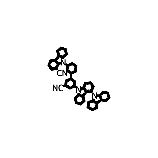 N#Cc1cc(-c2cccc(-n3c4ccccc4c4cccc(C#N)c43)c2)cc(-n2c3ccccc3c3c(-n4c5ccccc5c5ccccc54)cccc32)c1